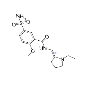 CCN1CCC/C1=C\NC(=O)c1cc(S(N)(=O)=O)ccc1OC